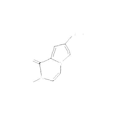 CCCCCc1cc2c(=O)n(C)ccn2c1